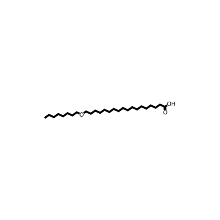 CCCCCCCCOCCCCCCCCCCCCCCCCCC(=O)O